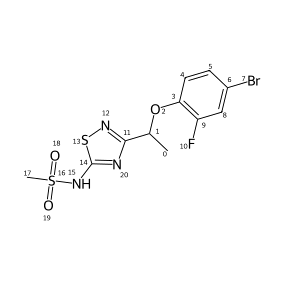 CC(Oc1ccc(Br)cc1F)c1nsc(NS(C)(=O)=O)n1